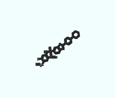 COc1cc(C(=O)O)c(F)cc1NS(=O)(=O)c1ccc2nc(-c3ccc(C4CCCCC4)cc3)sc2c1